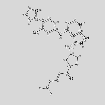 CN(C)CC=CC(=O)N1CC[C@@H](Nc2n[nH]c3nccc(Oc4ccc(-c5ncco5)c(Cl)c4)c23)C1